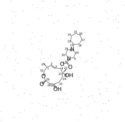 C[C@H]1/C=C/[C@H](OC(=O)N2CCN(C3CCCCCC3)CC2)[C@](C)(O)CC[C@@H](O)CC(=O)OC1